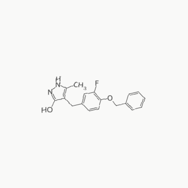 Cc1[nH]nc(O)c1Cc1ccc(OCc2ccccc2)c(F)c1